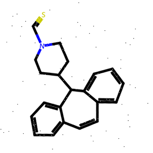 S=CN1CCC(C2c3ccccc3C=Cc3ccccc32)CC1